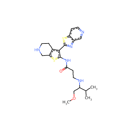 COCC(NCCC(=O)Nc1sc2c(c1-c1nc3cnccc3s1)CCNC2)C(C)C